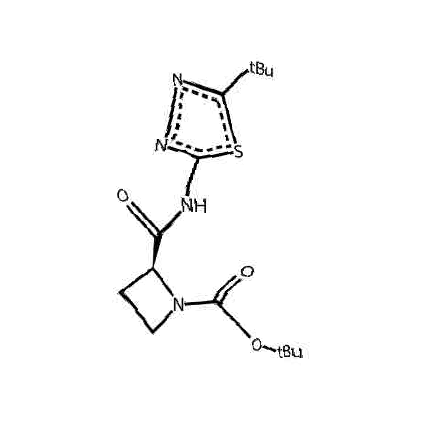 CC(C)(C)OC(=O)N1CC[C@H]1C(=O)Nc1nnc(C(C)(C)C)s1